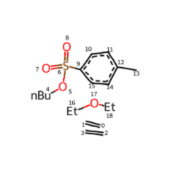 C=C.C=C.CCCCOS(=O)(=O)c1ccc(C)cc1.CCOCC